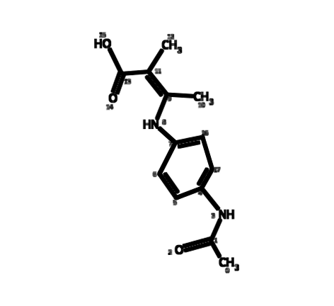 CC(=O)Nc1ccc(NC(C)=C(C)C(=O)O)cc1